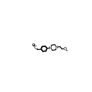 COCCN1CCN(c2ccc(C=C=O)cc2)CC1